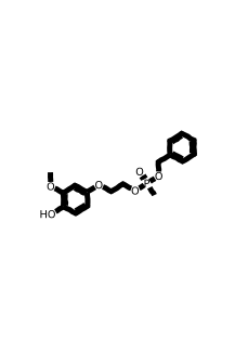 COc1cc(OCCOP(C)(=O)OCc2ccccc2)ccc1O